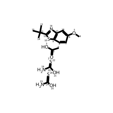 CC(=O)O.COc1ccc2sc(C(C)(C)C)nc2c1.NC(O)=S.NC(O)=S